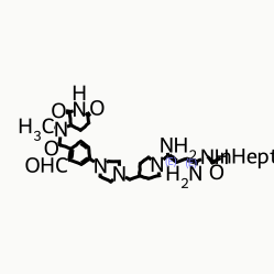 CCCCCCCC(=O)N/C(N)=C/C=C(\N)N1CCC(CN2CCN(c3ccc(C(=O)N(C)C4CCC(=O)NC4=O)c(C=O)c3)CC2)CC1